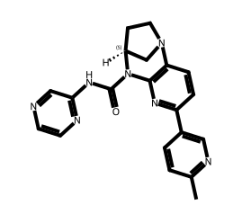 Cc1ccc(-c2ccc3c(n2)N(C(=O)Nc2cnccn2)[C@H]2CCN3C2)cn1